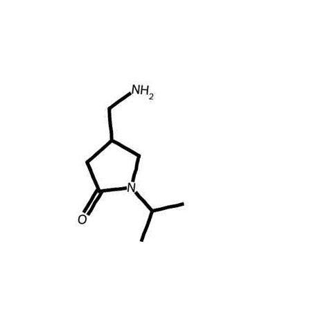 CC(C)N1CC(CN)CC1=O